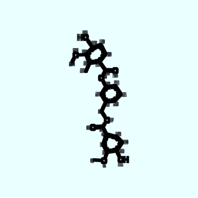 COc1cc(C(=O)OCc2cccc(OC(=O)c3ccc(O)c(OC)c3C)c2)ccc1O